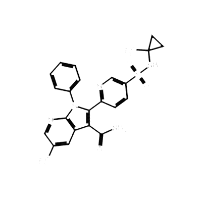 NC(=O)c1c(-c2ccc(S(=O)(=O)NC3(C(F)(F)F)CC3)cn2)n(-c2ccccc2)c2ncc(C(F)(F)F)cc12